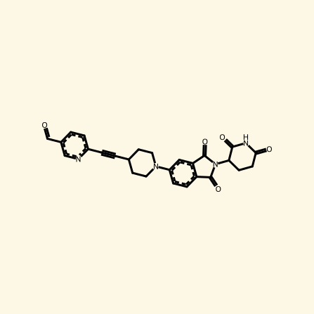 O=Cc1ccc(C#CC2CCN(c3ccc4c(c3)C(=O)N(C3CCC(=O)NC3=O)C4=O)CC2)nc1